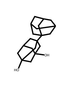 OC12CC3CC(O)(C1)CC(C14CC5CC(CC(C5)C1)C4)(C3)C2